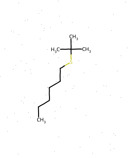 CCC[CH]CCSC(C)(C)C